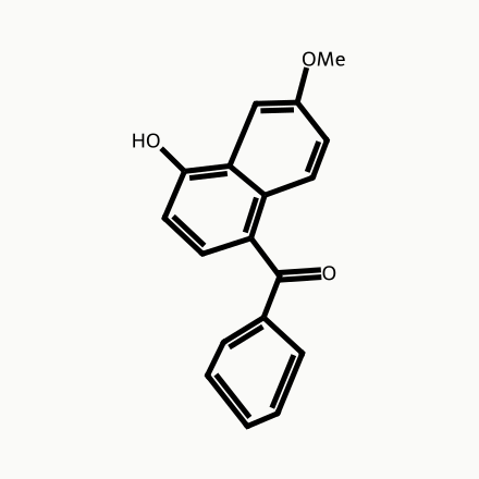 COc1ccc2c(C(=O)c3ccccc3)ccc(O)c2c1